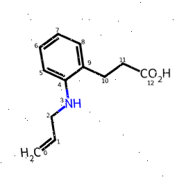 C=CCNc1ccccc1CCC(=O)O